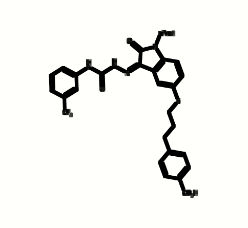 CCCCCN1C(=O)C(=NNC(=O)Nc2cccc(C(F)(F)F)c2)c2cc(SCCCc3ccc(C(=O)O)cc3)ccc21